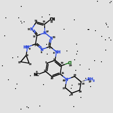 N#Cc1cc(Nc2nc(NC3CC3)c3ncc(C#N)n3n2)c(Cl)c(N2CCC[C@@H](N)C2)c1